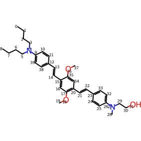 CCCCN(CCCC)c1ccc(/C=C/c2cc(OC)c(/C=C/c3ccc(N(C)CCO)cc3)cc2OC)cc1